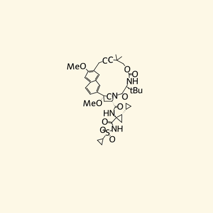 COc1cc2ccc3cc2cc1CCCC(C)(C)COC(=O)N[C@@H](C(C)(C)C)C(=O)N1C[C@@]3(OC)C[C@H]1C(=O)N[C@]1(C(=O)NS(=O)(=O)C2CC2)C[C@H]1C1CC1